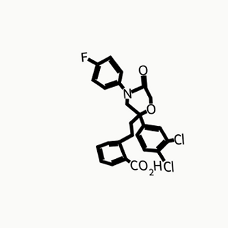 O=C(O)c1ccccc1CCC1(c2ccc(Cl)c(Cl)c2)CN(c2ccc(F)cc2)C(=O)CO1